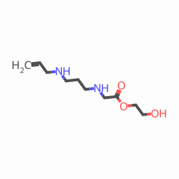 C=CCNCCCNCC(=O)OCCO